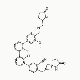 COc1nc(-c2cccc(-c3cccc(-c4ccc(CN5CC6(CCC(=O)N6)C5)c(C#N)c4)c3Cl)c2Cl)cnc1CNCC1CCC(=O)N1